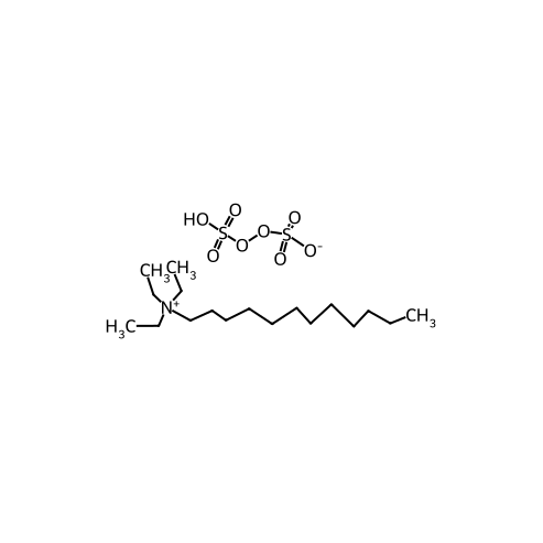 CCCCCCCCCCCC[N+](CC)(CC)CC.O=S(=O)([O-])OOS(=O)(=O)O